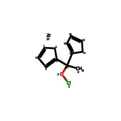 CC(OCl)(C1=CC=CC1)C1=CC=CC1.[Zr]